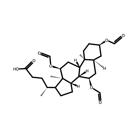 C[C@H](CCC(=O)O)C1CC[C@H]2[C@H]3[C@H](OC=O)C[C@@H]4C[C@H](OC=O)CC[C@]4(C)[C@H]3C[C@H](OC=O)[C@]12C